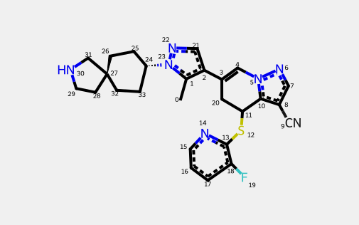 Cc1c(C2=Cn3ncc(C#N)c3C(Sc3ncccc3F)C2)cnn1[C@H]1CC[C@]2(CCNC2)CC1